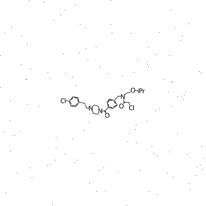 CC(C)OCCN(Cc1ccc(C(=O)N2CCN(CCc3ccc(Cl)cc3)CC2)cc1)C(=O)CCl